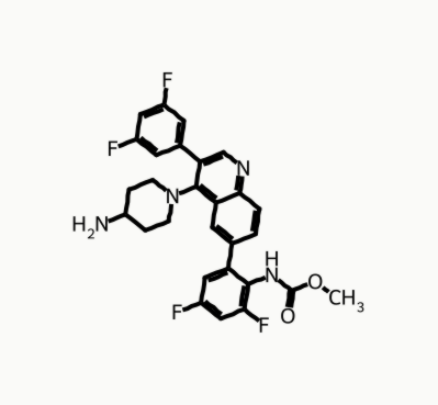 COC(=O)Nc1c(F)cc(F)cc1-c1ccc2ncc(-c3cc(F)cc(F)c3)c(N3CCC(N)CC3)c2c1